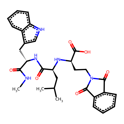 CNC(=O)[C@H](Cc1c[nH]c2ccccc12)NC(=O)[C@H](CC(C)C)N[C@H](CCN1C(=O)c2ccccc2C1=O)C(=O)O